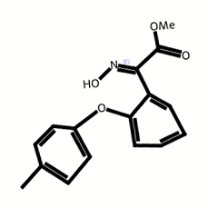 COC(=O)/C(=N/O)c1ccccc1Oc1ccc(C)cc1